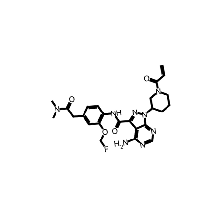 C=CC(=O)N1CCCC(n2nc(C(=O)Nc3ccc(CC(=O)N(C)C)cc3OCF)c3c(N)ncnc32)C1